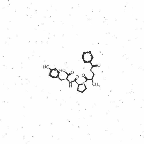 C[C@H](CSC(=O)c1ccccc1)C(=O)N1CCC[C@H]1C(=O)N[C@@H](Cc1ccc(O)cc1)C(=O)O